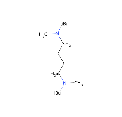 CCC(C)N(C)[SiH2]CC[SiH2]N(C)C(C)CC